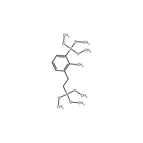 CO[Si](CCc1cccc([Si](OC)(OC)OC)c1C)(OC)OC